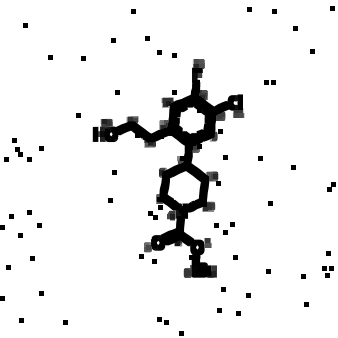 CC(C)(C)OC(=O)N1CCC(c2cc(Cl)c(F)cc2CCO)CC1